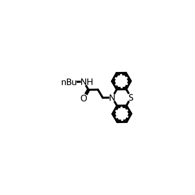 CCCCNC(=O)CCN1c2ccccc2Sc2ccccc21